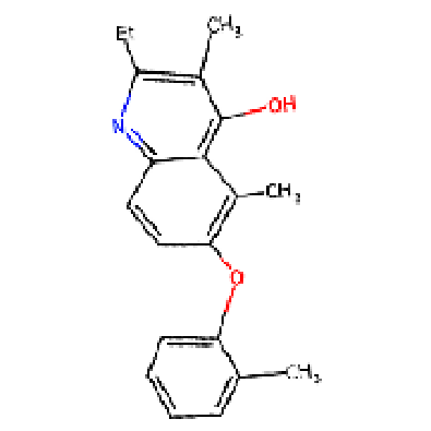 CCc1nc2ccc(Oc3ccccc3C)c(C)c2c(O)c1C